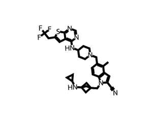 Cc1c(CN2CCC(Nc3ncnc4sc(CC(F)(F)F)cc34)CC2)ccc2c1cc(C#N)n2CC12CC(NC3CC3)(C1)C2